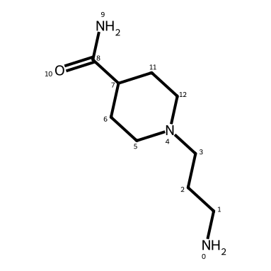 NCCCN1CCC(C(N)=O)CC1